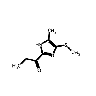 CCC(=O)c1nc(SC)c(C)[nH]1